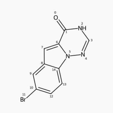 O=c1[nH]cnn2c1cc1cc(Br)ccc12